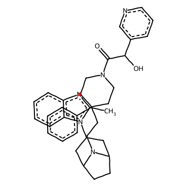 Cc1nc2ccccc2n1C1CC2CCC(C1)N2CCC1(c2ccccc2)CCN(C(=O)C(O)c2cccnc2)CC1